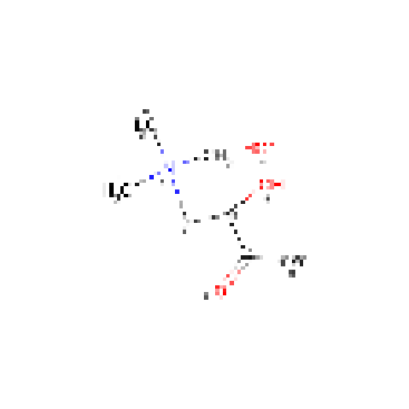 CCCC(=O)C(O)C[N+](C)(C)C.[OH-]